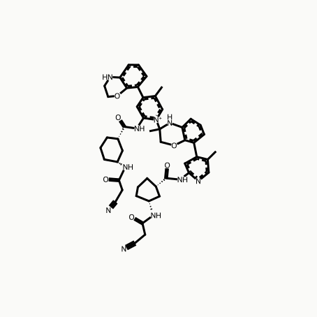 Cc1c[n+](C2(C)COc3c(cccc3-c3cc(NC(=O)[C@H]4CCC[C@@H](NC(=O)CC#N)C4)ncc3C)N2)c(NC(=O)[C@H]2CCC[C@@H](NC(=O)CC#N)C2)cc1-c1cccc2c1OCCN2